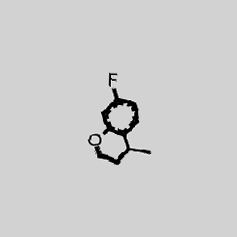 C[C@H]1CCOc2cc(F)ccc21